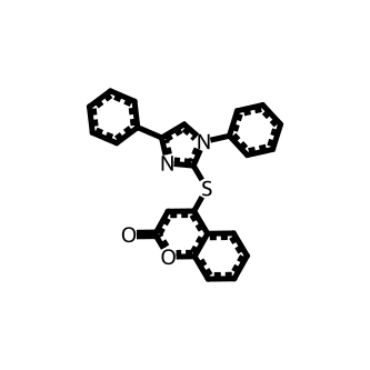 O=c1cc(Sc2nc(-c3ccccc3)cn2-c2ccccc2)c2ccccc2o1